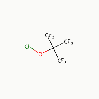 FC(F)(F)C(OCl)(C(F)(F)F)C(F)(F)F